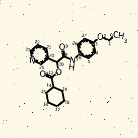 CCOc1ccc(NC(=O)C(OC(=O)C2CCCCC2)c2cccnc2)cc1